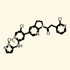 Cn1nccc1Nc1cc(-c2cnc3c(c2)CCN3C(=O)Cc2cccnc2Cl)c(Cl)cn1